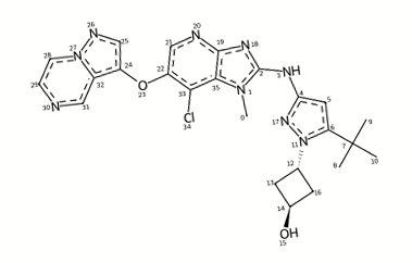 Cn1c(Nc2cc(C(C)(C)C)n([C@H]3C[C@H](O)C3)n2)nc2ncc(Oc3cnn4ccncc34)c(Cl)c21